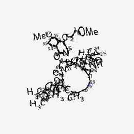 COCCOc1cnc(O[C@@H]2C[C@H]3C(=O)N[C@]4(C(=O)NS(=O)(=O)C5(C)CC5)CC4/C=C\CC[C@@H](C)C[C@@H](C)[C@H](OC(=O)OC(C)(C)C(C)(F)F)C(=O)N3C2)c2ccc(OC)cc12